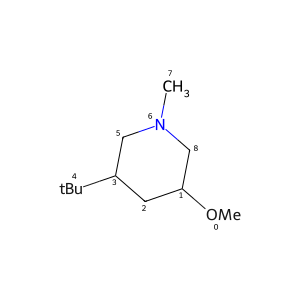 COC1CC(C(C)(C)C)CN(C)C1